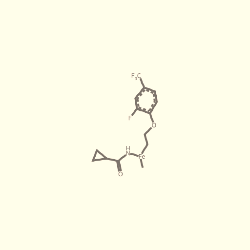 [CH3][Fe]([CH2]COc1ccc(C(F)(F)F)cc1F)[NH]C(=O)C1CC1